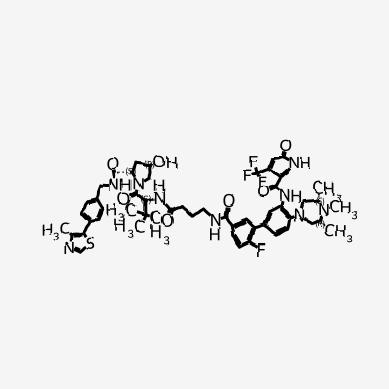 Cc1ncsc1-c1ccc(CNC(=O)[C@@H]2C[C@@H](O)CN2C(=O)[C@@H](NC(=O)CCCNC(=O)c2ccc(F)c(-c3ccc(N4C[C@@H](C)N(C)[C@@H](C)C4)c(NC(=O)c4c[nH]c(=O)cc4C(F)(F)F)c3)c2)C(C)(C)C)cc1